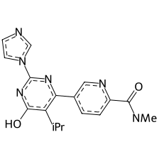 CNC(=O)c1ccc(-c2nc(-n3ccnc3)nc(O)c2C(C)C)cn1